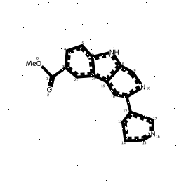 COC(=O)c1ccc2[nH]c3cnc(-c4cccnc4)cc3c2c1